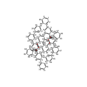 c1ccc(-c2cc3c4c(c2)-c2cc(-c5c(-c6ccccc6)cccc5-c5ccccc5)c5cc6c7c(cc(-c8c(-c9ccccc9)cccc8-c8ccccc8)c8cc(c2c5c87)B4c2ccccc2-3)-c2cc(-c3ccccc3)cc3c2B6c2ccccc2-3)cc1